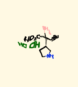 BC(CCCC)(C(=O)O)[C@H]1CCNC1.Cl.Cl